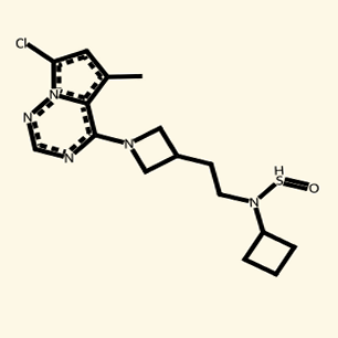 Cc1cc(Cl)n2ncnc(N3CC(CCN([SH]=O)C4CCC4)C3)c12